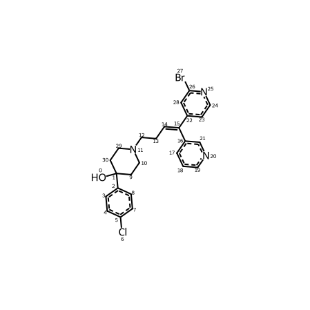 OC1(c2ccc(Cl)cc2)CCN(CC/C=C(\c2cccnc2)c2ccnc(Br)c2)CC1